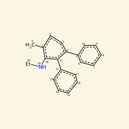 [CH2]c1ccc(-c2ccccc2)c(-c2ccccc2)c1NCC